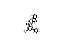 Cc1nc(NS(=O)(=O)c2cnc3ccccc3c2)nc(-c2ccccn2)n1